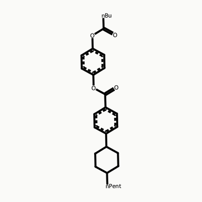 CCCCCC1CCC(c2ccc(C(=O)Oc3ccc(OC(=O)CCCC)cc3)cc2)CC1